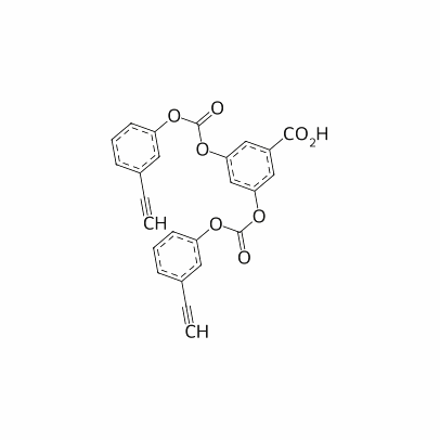 C#Cc1cccc(OC(=O)Oc2cc(OC(=O)Oc3cccc(C#C)c3)cc(C(=O)O)c2)c1